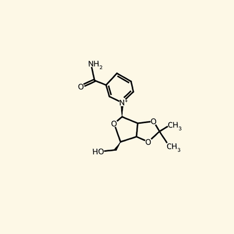 CC1(C)OC2C(O1)[C@@H](CO)O[C@H]2[n+]1cccc(C(N)=O)c1